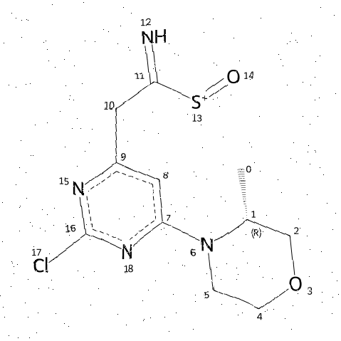 C[C@@H]1COCCN1c1cc(CC(=N)[S+]=O)nc(Cl)n1